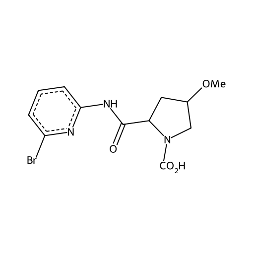 COC1CC(C(=O)Nc2cccc(Br)n2)N(C(=O)O)C1